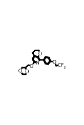 FC(F)(F)COc1ccc(-c2nc(OCC3COCCO3)cc3c2OCCC3)cc1